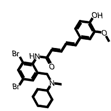 COc1cc(C=CC=CC(=O)Nc2c(Br)cc(Br)cc2CN(C)C2CCCCC2)ccc1O